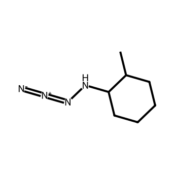 CC1CCCCC1NN=[N+]=[N-]